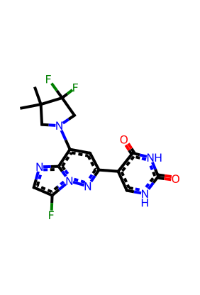 CC1(C)CN(c2cc(-c3c[nH]c(=O)[nH]c3=O)nn3c(F)cnc23)CC1(F)F